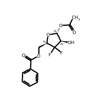 CC(=O)O[C@H]1O[C@H](COC(=O)c2ccccc2)C(F)(F)[C@@H]1O